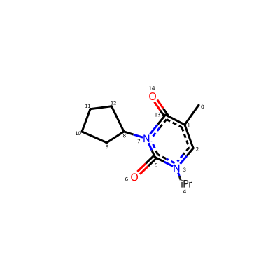 Cc1cn(C(C)C)c(=O)n(C2CCCC2)c1=O